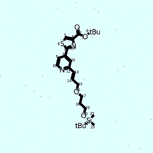 CC(C)(C)OC(=O)c1csc(-c2ccnc(/C=C/COCCCO[Si](C)(C)C(C)(C)C)c2)n1